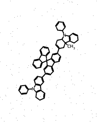 CC12CC(c3ccc4c(c3)C3(c5ccccc5-c5ccccc53)c3cc(-c5ccc6c(c5)c5c(n6-c6ccccc6)CCC=C5)ccc3-4)=CCC1N(C1C=CC=CC1)C1=C2CCC=C1